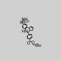 CC(C)(C)COC(=O)c1ccc(C2Nc3ccc(S(N)(=O)=O)cc3C3C=CCC32)cc1